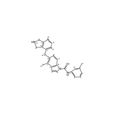 Cc1cccc(NC(=O)n2ccc3c(F)c(Oc4ncnc5c4CNC5)ccc32)c1